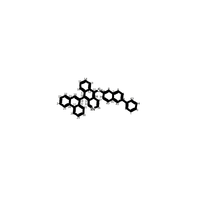 c1ccc(-c2ccc3cc(Sc4c5ccccc5c(-c5cc6ccccc6c6ccccc56)c5cnccc45)ccc3c2)cc1